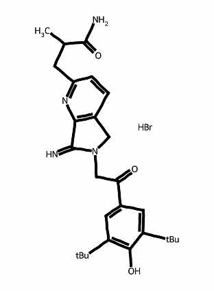 Br.CC(Cc1ccc2c(n1)C(=N)N(CC(=O)c1cc(C(C)(C)C)c(O)c(C(C)(C)C)c1)C2)C(N)=O